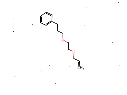 C=CCOCCOCCCc1ccccc1